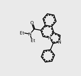 CCN(CC)C(=O)c1cn2c(-c3ccccc3)ncc2c2ccccc12